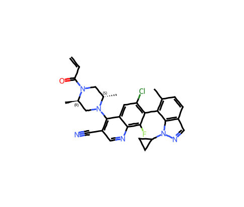 C=CC(=O)N1C[C@H](C)N(c2c(C#N)cnc3c(F)c(-c4c(C)ccc5cnn(C6CC6)c45)c(Cl)cc23)C[C@H]1C